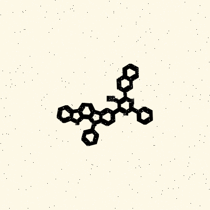 N#Cc1c(-c2ccc3ccccc3c2)nc(-c2ccccc2)nc1-c1ccc2c(c1)c1ccc3c4ccccc4sc3c1n2-c1ccccc1